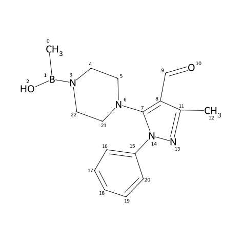 CB(O)N1CCN(c2c(C=O)c(C)nn2-c2ccccc2)CC1